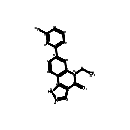 O=c1c2cn[nH]c2c2ccc(-c3cccc(F)n3)cc2n1CC(F)(F)F